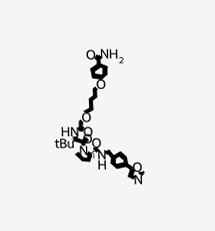 CC(C)(C)[C@H](NC(=O)COCCCCCOc1ccc(C(N)=O)cc1)C(=O)N1CCC[C@H]1C(=O)NCc1ccc(-c2cnco2)cc1